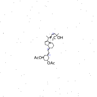 CC(=O)OC1C/C(=C/C=C2\CCC[C@]3(C)C(C(C)C/C=C\C(C)(O)C(F)(F)F)=CCC23)C[C@@H](OC(C)=O)C1